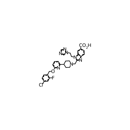 O=C(O)c1ccc2nc(CN3CCC(c4cccc(OCc5ccc(Cl)cc5F)n4)CC3)n(CCn3cncn3)c2c1